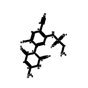 CCS(=O)(=O)Nc1cc(-n2c(=O)cc(C)[nH]c2=O)c(F)cc1C#N